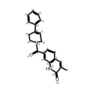 Cc1cc2ccc(C(=O)N3CC=C(c4ccccc4)CC3)cc2[nH]c1=O